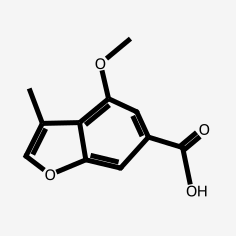 COc1cc(C(=O)O)cc2occ(C)c12